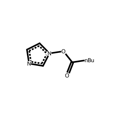 CCCCC(=O)On1ccnc1